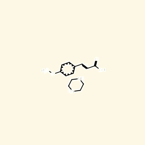 C1CNCCN1.COc1ccc(/C=C/C(=O)O)cc1